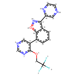 FC(F)(F)COc1ncncc1-c1cccc2c(-c3cnccn3)noc12